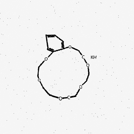 [KH].c1ccc2c(c1)OCCOCCOCCOCCOCCO2